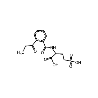 CCC(=O)c1ccccc1C(=O)N[C@@H](CCS(=O)(=O)O)C(=O)O